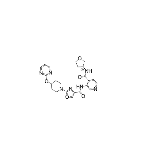 O=C(Nc1cnccc1C(=O)N[C@H]1CCOC1)c1coc(N2CCC(Oc3ncccn3)CC2)n1